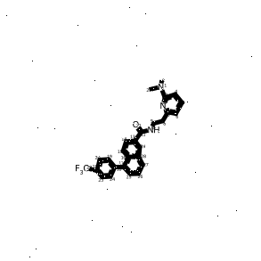 CN(C)c1cccc(CCNC(=O)c2ccc3c(-c4ccc(C(F)(F)F)cc4)cccc3c2)n1